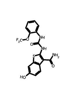 NC(=O)c1c(NC(=O)Nc2ccccc2OC(F)(F)F)sc2cc(O)ccc12